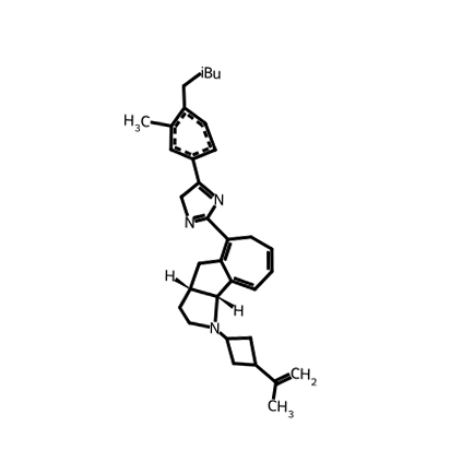 C=C(C)C1CC(N2CC[C@@H]3CC4=C(C5=NCC(c6ccc(CC(C)CC)c(C)c6)=N5)CC=CC=C4[C@@H]32)C1